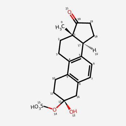 C[C@]12CCc3c(ccc4c3CC[C@@](O)(OS(=O)(=O)O)C4)[C@@H]1CCC2=O